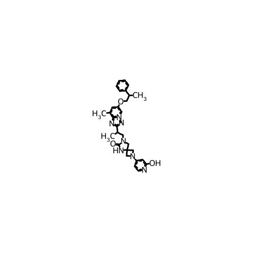 Cc1cc(OCC(C)c2ccccc2)cn2nc(C(C)CN3CC4(CN(c5ccnc(O)c5)C4)NC3=O)nc12